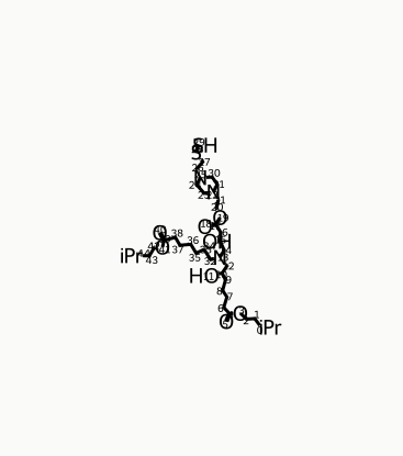 CC(C)CCOC(=O)CCCCC(O)CN(CCCC(=O)OCCN1CCN(CCSS)CC1)CC(O)CCCCC(=O)OCCC(C)C